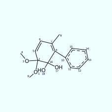 COC1(OC)C=CC(C)=C(c2ccccc2)C1(O)O